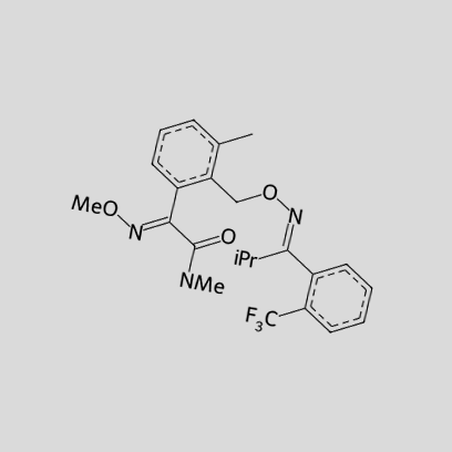 CNC(=O)/C(=N/OC)c1cccc(C)c1CO/N=C(/c1ccccc1C(F)(F)F)C(C)C